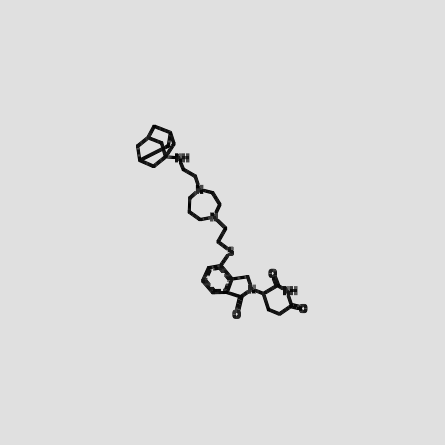 O=C1CCC(N2Cc3c(SCCN4CCCN(CCNC56CC7CC(CC(C7)C5)C6)CC4)cccc3C2=O)C(=O)N1